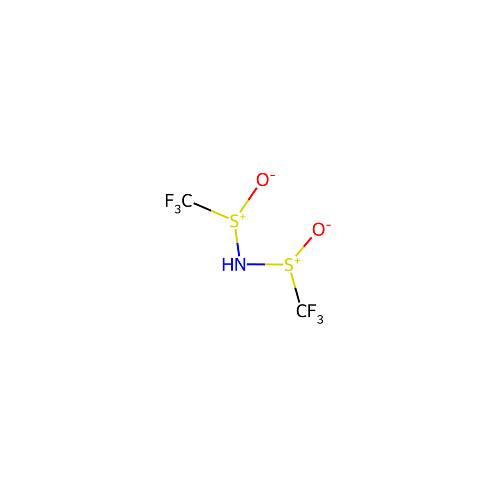 [O-][S+](N[S+]([O-])C(F)(F)F)C(F)(F)F